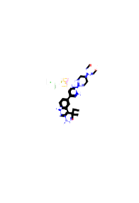 CN1C(=O)C2(CCC2)c2c1cnc1ccc(-c3cnc(N4CCC(N5CCOCC5)CC4)c(NS(C)(=O)=O)c3)cc21.Cl